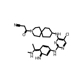 CN/C(C)=C1/C=CC(Nc2ncc(Cl)c(NC3CCC4(CC3)CCN(C(=O)CC#N)CC4)n2)=CC1=N